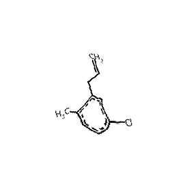 C=CCc1cc(Cl)ccc1C